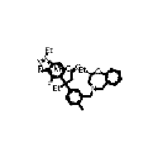 CC[C@@H]1CN(Cc2cc(C(CC)(CC(=O)OC)c3ccc4c(nnn4CC)c3F)ccc2C)Cc2ccccc2O1